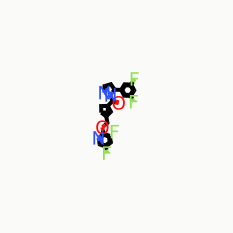 O=C(N1N=CCC1c1cc(F)cc(F)c1)C12CC(COc3ncc(F)cc3F)C(C1)C2